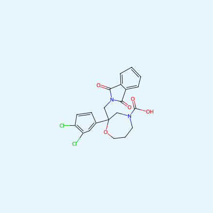 O=C(O)N1CCCOC(CN2C(=O)c3ccccc3C2=O)(c2ccc(Cl)c(Cl)c2)C1